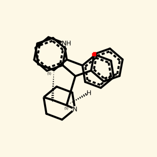 c1ccc(C2NCCC[C@H]2[C]2C3CCN(CC3)[C@@H]2C(c2ccccc2)c2ccccc2)cc1